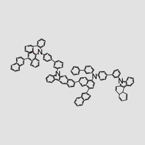 C1=CC2C=Cc3c(c4ccccc4n3-c3cccc(-c4ccc(N(c5cccc(-c6ccccc6)c5)c5ccc(-c6ccc7ccccc7c6)c6cc(-c7ccc8cc9c%10ccccc%10n(-c%10cccc(-c%11ccc(N(c%12ccccc%12-c%12ccccc%12)c%12ccc(-c%13ccc%14ccccc%14c%13)c%13ccccc%12%13)cc%11)c%10)c9cc8c7)ccc56)cc4)c3)C2C=C1